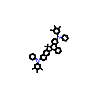 Cc1cc(N(c2ccccc2)c2ccc3cc4c(cc3c2)C(C)(C)c2c-4c3ccccc3c3cc(N(c4ccccc4)c4cc(C)c(C)c(C)c4)ccc23)cc(C)c1C